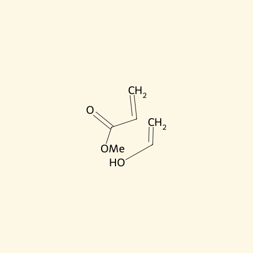 C=CC(=O)OC.C=CO